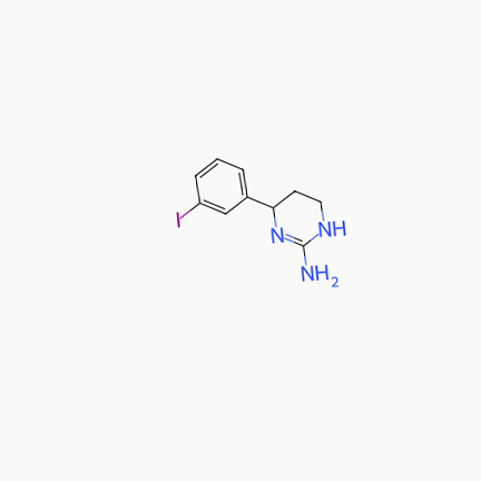 NC1=NC(c2cccc(I)c2)CCN1